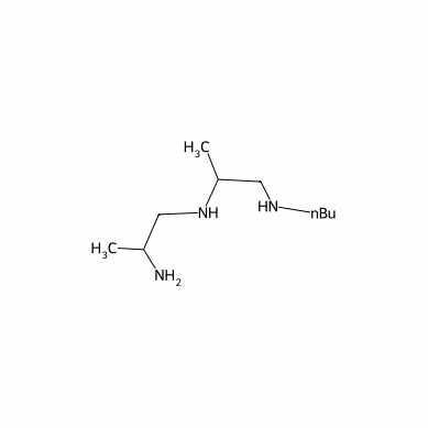 CCCCNCC(C)NCC(C)N